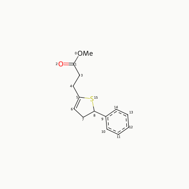 COC(=O)CCC1=CCC(c2ccccc2)S1